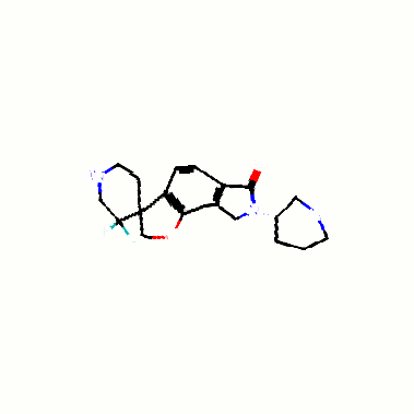 O=C1c2ccc3c(c2CN1[C@H]1CCCNC1)OCC31CCNCC1(F)F